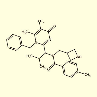 Cc1ccc(C(=O)N(CC2CNC2)C(c2nc(=O)c(C)c(C)n2Cc2ccccc2)C(C)C)cc1